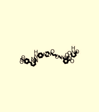 CS(=O)(=O)c1ccc(-c2cccc3nc(Nc4ccc(N5CCN(C(=O)CCOCCNc6cccc7c6C(=O)N(C6CCC(=O)NC6=O)C7=O)CC5)cc4)nn23)cc1